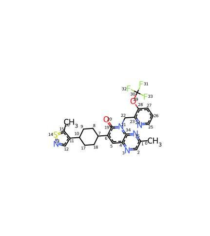 Cc1cnc2cc(C3CCC(c4cnsc4C)CC3)c(=O)n(Cc3ncccc3OC(F)(F)F)c2n1